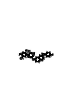 C[C@H](O)[C@@H](NC(=O)ON1CCc2cnc(Nc3ccc(F)cc3)nc2C1)c1ccc(F)c(Cl)c1